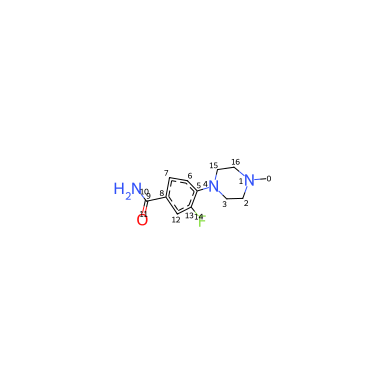 CN1CCN(c2ccc(C(N)=O)cc2F)CC1